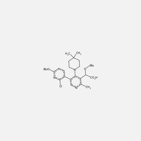 Cc1ncc(-c2ccc(OCC(C)C)nc2Cl)c(N2CCC(C)(C)CC2)c1C(OC(C)(C)C)C(=O)O